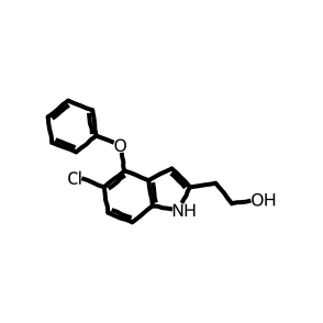 OCCc1cc2c(Oc3ccccc3)c(Cl)ccc2[nH]1